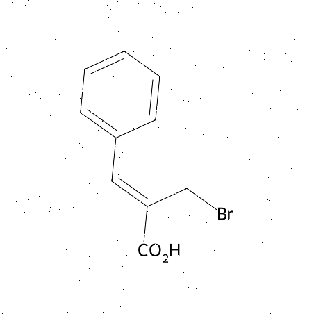 O=C(O)/C(=C/c1ccccc1)CBr